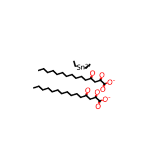 CCCCCCCCCCCC(=O)CC(=O)C(=O)[O-].CCCCCCCCCCCC(=O)CC(=O)C(=O)[O-].C[CH2][Sn+2][CH2]C